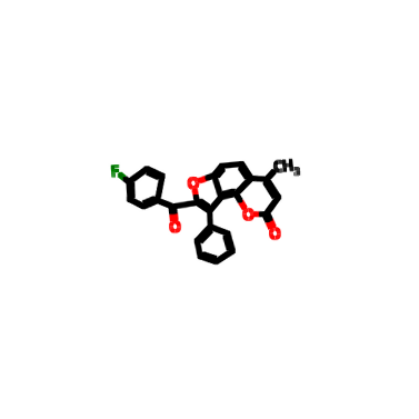 Cc1cc(=O)oc2c1ccc1oc(C(=O)c3ccc(F)cc3)c(-c3ccccc3)c12